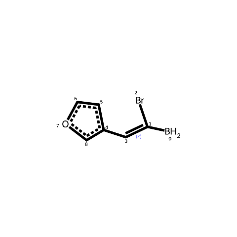 B/C(Br)=C/c1ccoc1